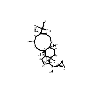 C[C@@H]1CC[C@@H]2[C@@H](CCC[C@](O)(C(F)(F)F)C1)CC[C@]1(C)[C@@H]([C@H](C)C3CO3)CC[C@@H]21